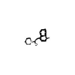 O=C(Cc1ccc(I)c2ccccc12)N1CCCCC1